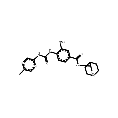 COc1cc(C(=O)NC2CN3CCC2CC3)ccc1NC(=O)Nc1cnc(C)cn1